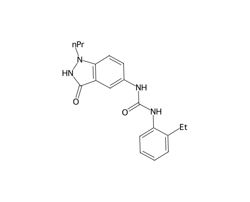 CCCn1[nH]c(=O)c2cc(NC(=O)Nc3ccccc3CC)ccc21